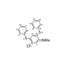 CNc1cc(Cl)c(Sc2ccccc2)cc1Sc1ccccc1